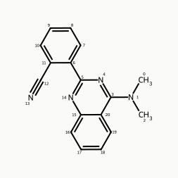 CN(C)c1nc(-c2ccccc2C#N)nc2ccccc12